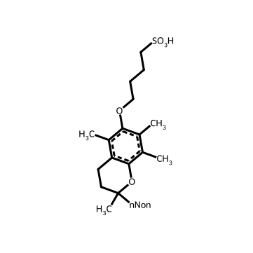 CCCCCCCCCC1(C)CCc2c(C)c(OCCCCS(=O)(=O)O)c(C)c(C)c2O1